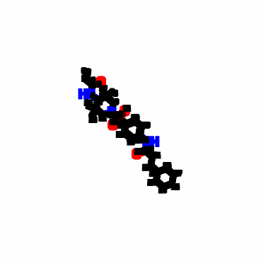 C=CC(=O)NC1C(C)(C)CN(S(=O)(=O)c2ccc(NC(=O)CCC3CCCCC3)cc2)CC1(C)C